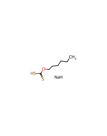 CCCCCCOC(=S)S.[NaH]